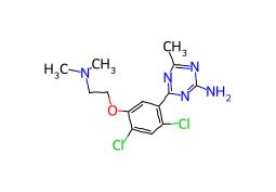 Cc1nc(N)nc(-c2cc(OCCN(C)C)c(Cl)cc2Cl)n1